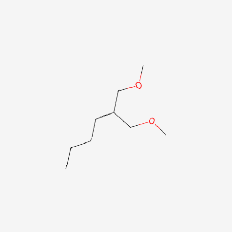 CCCCC(COC)COC